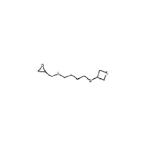 C(CCSC1CSC1)CSCC1CO1